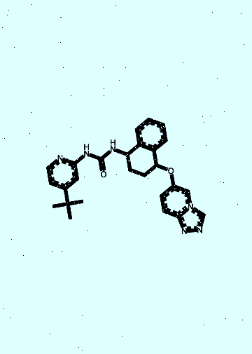 CC(C)(C)c1ccnc(NC(=O)NC2CCC(Oc3ccc4nncn4c3)c3ccccc32)c1